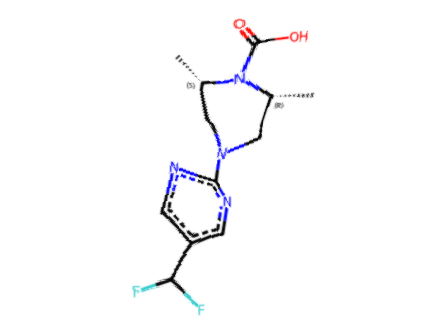 C[C@@H]1CN(c2ncc(C(F)F)cn2)C[C@H](C)N1C(=O)O